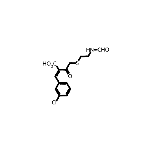 O=CNCCSCC(=O)C(=Cc1cccc(Cl)c1)C(=O)O